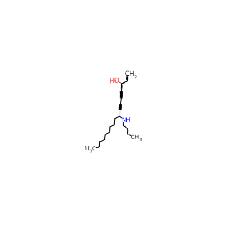 C=C[C@H](O)C#CC#C[C@@H](CCCCCCCCC)NCCCC